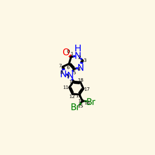 O=c1[nH]cnc2c1cnn2-c1ccc(C(Br)Br)cc1